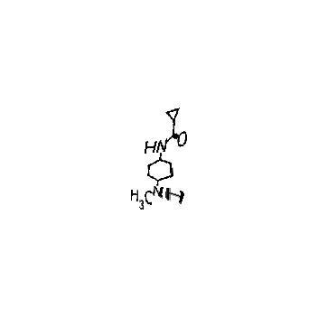 CNC1CCC(NC(=O)C2CC2)CC1